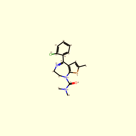 Cc1cc2c(s1)N(C(=O)N(C)C)CCN=C2c1ccccc1Cl